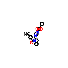 N#Cc1ccc(C(=O)N2c3ccccc3CCC2CN2CCN(C3=COC(C4=CC=CCC4)=CO3)CC2)cc1